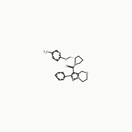 O=C(c1c(-c2ccccc2)nn2c1COCC2)N1CCC[C@H]1COc1ccc(C(F)(F)F)cn1